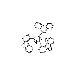 c1ccc2c(c1)cc(-c1cc(-c3cccc4oc5ccccc5c34)nc(-c3cccc4oc5cccnc5c34)n1)c1ccccc12